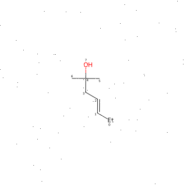 CCC=CCC(C)(C)O